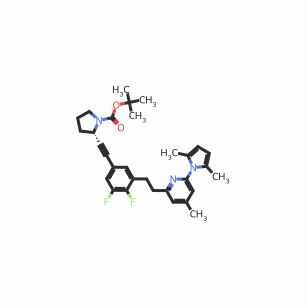 Cc1cc(CCc2cc(C#C[C@@H]3CCCN3C(=O)OC(C)(C)C)cc(F)c2F)nc(-n2c(C)ccc2C)c1